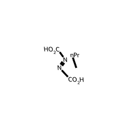 CCCC.O=C(O)N=NC(=O)O